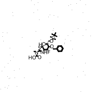 CN(C(=O)O)C1=N[C@@H]2[C@@H](F)[C@H](OCc3ccccc3)[C@@H](CO[Si](C)(C)C(C)(C)C)O[C@@H]2S1